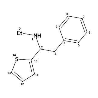 CCNC(Cc1ccccc1)c1cccs1